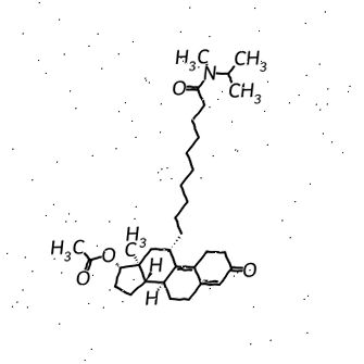 CC(=O)O[C@H]1CC[C@H]2[C@@H]3CCC4=CC(=O)CCC4=C3[C@@H](CCCCCCCCCC(=O)N(C)C(C)C)C[C@]12C